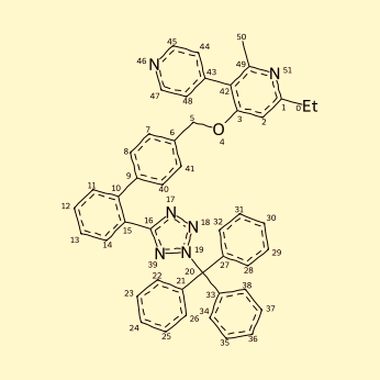 CCc1cc(OCc2ccc(-c3ccccc3-c3nnn(C(c4ccccc4)(c4ccccc4)c4ccccc4)n3)cc2)c(-c2ccncc2)c(C)n1